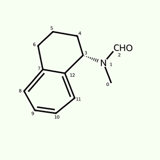 CN(C=O)[C@H]1CCCc2ccccc21